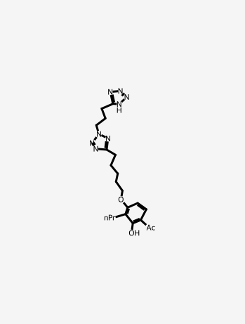 CCCc1c(OCCCCCc2nnn(CCCc3nnn[nH]3)n2)ccc(C(C)=O)c1O